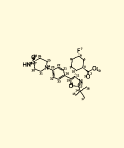 COC(=O)[C@@H]1C[C@@H](F)CC[C@H]1c1nc(C(C)(C)C)oc1-c1ccc(N2CCS(=N)(=O)CC2)cc1